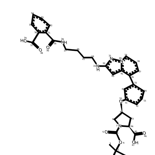 CC(C)(C)OC(=O)N1C[C@@H](Oc2cccc(-c3cccn4nc(NCCCCNC(=O)c5ccccc5C(=O)O)cc34)c2)C[C@H]1C(=O)O